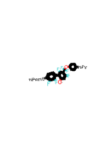 CCCCCc1ccc(-c2c([O])cc(F)c(C(F)(F)Oc3ccc(CCC)cc3)c2F)c(F)c1F